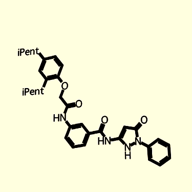 CCCC(C)c1ccc(OCC(=O)Nc2cccc(C(=O)Nc3cc(=O)n(-c4ccccc4)[nH]3)c2)c(C(C)CCC)c1